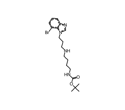 CC(C)(C)OC(=O)NCCCCNCCCn1cnc2cccc(Br)c21